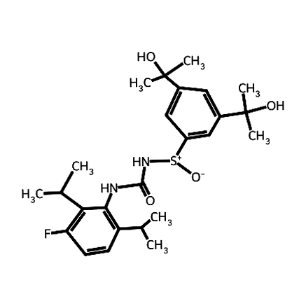 CC(C)c1ccc(F)c(C(C)C)c1NC(=O)N[S+]([O-])c1cc(C(C)(C)O)cc(C(C)(C)O)c1